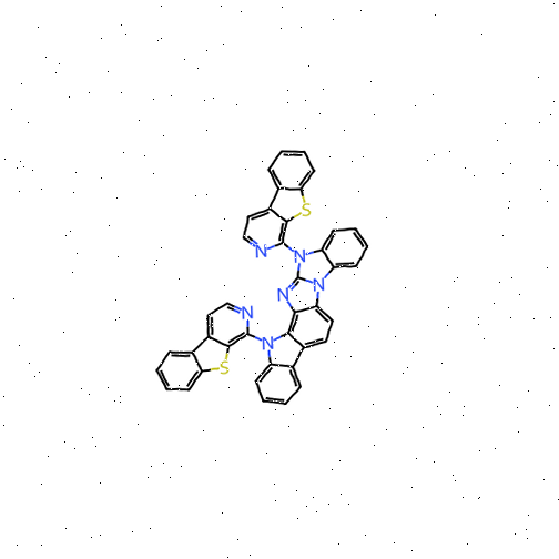 c1ccc2c(c1)sc1c(-n3c4ccccc4c4ccc5c(nc6n(-c7nccc8c7sc7ccccc78)c7ccccc7n56)c43)nccc12